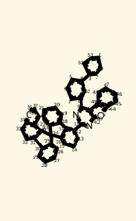 c1ccc(-c2cccc(-c3nc(-c4cccc5c4-c4ccccc4C54c5ccccc5-c5ccc6ccccc6c54)nc4oc5ccccc5c34)c2)cc1